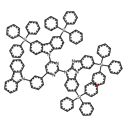 c1ccc([Si](c2ccccc2)(c2ccccc2)c2ccc3c(c2)c2cc([Si](c4ccccc4)(c4ccccc4)c4ccccc4)ccc2n3-c2cc(-c3cccc(-n4c5ccccc5c5ccccc54)c3)nc(-n3c4ccc([Si](c5ccccc5)(c5ccccc5)c5ccccc5)cc4n4c5cc([Si](c6ccccc6)(c6ccccc6)c6ccccc6)ccc5nc34)n2)cc1